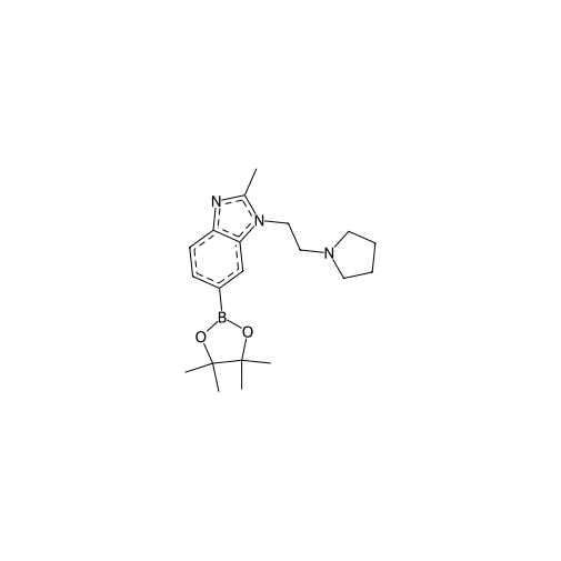 Cc1nc2ccc(B3OC(C)(C)C(C)(C)O3)cc2n1CCN1CCCC1